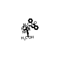 Cc1ccccc1-n1c(Cn2nc(C#C[C@@H](C)O)c3c(N)ncnc32)cc2ccccc2c1=O